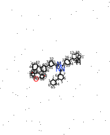 c1ccc(-c2cccc(-c3nc(-c4ccc(C56CC7CC8C[C@@H](C5)C87C6)cc4)nc(-c4cccc(-c5ccc6c(c5)-c5ccccc5C65c6ccccc6Oc6ccccc65)c4)n3)c2)cc1